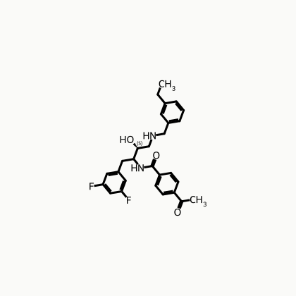 CCc1cccc(CNC[C@H](O)C(Cc2cc(F)cc(F)c2)NC(=O)c2ccc(C(C)=O)cc2)c1